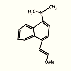 COC=Cc1ccc(N(C)C)c2ccccc12